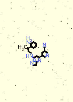 C=C(CCNc1cc(-c2cncc(C#N)c2)nc2ccnn12)c1ccccc1N